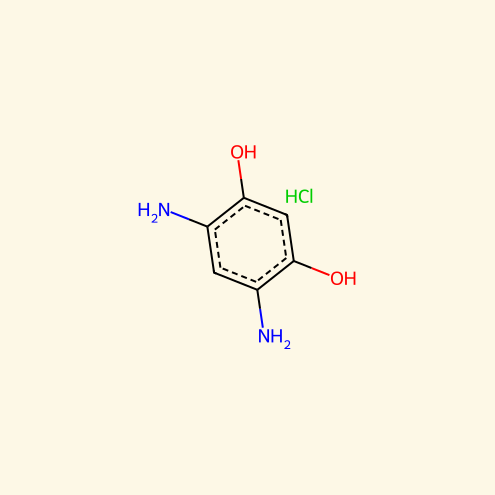 Cl.Nc1cc(N)c(O)cc1O